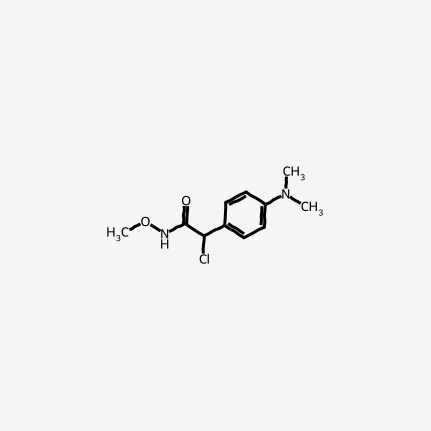 CONC(=O)C(Cl)c1ccc(N(C)C)cc1